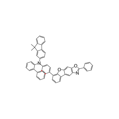 CC1(C)c2ccccc2-c2ccc(N(c3ccc(-c4cccc5c4oc4cc6oc(-c7ccccc7)nc6cc45)cc3)c3ccccc3-c3ccccc3)cc21